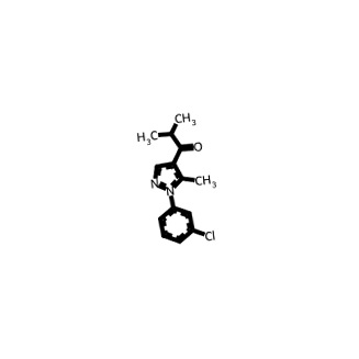 Cc1c(C(=O)C(C)C)cnn1-c1cccc(Cl)c1